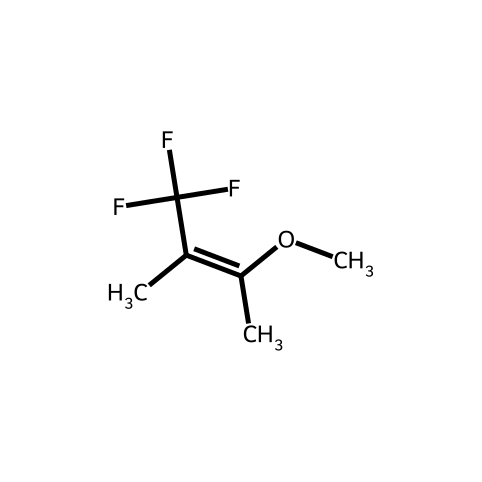 CO/C(C)=C(/C)C(F)(F)F